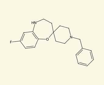 Fc1ccc2c(c1)NCCC1(CCN(Cc3ccccc3)CC1)O2